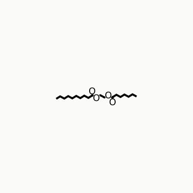 CCCCCCCCCC(=O)OCCOC(=O)CCCCCC